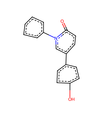 O=c1ccc(-c2ccc(O)cc2)cn1-c1ccccc1